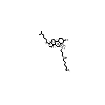 CC(C)CCC[C@@H](C)[C@H]1CC[C@H]2[C@@H]3C[C@@H](NCCCNCCCCN)[C@@]4(O)CC(O)CC[C@]4(C)[C@H]3CC[C@]12C